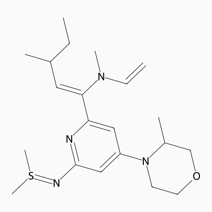 C=CN(C)/C(=C\C(C)CC)c1cc(N2CCOCC2C)cc(N=S(C)C)n1